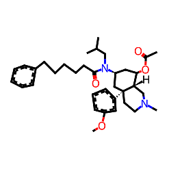 COc1cccc([C@@]23CCN(C)C[C@H]2C(OC(C)=O)C[C@H](N(CC(C)C)C(=O)CCCCCc2ccccc2)C3)c1